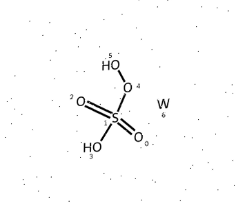 O=S(=O)(O)OO.[W]